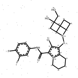 O=C(Nc1ccc(F)c(F)c1)c1c(Cl)c(SN2C3CCC34C2CC4(O)CO)c2n1CCCC2